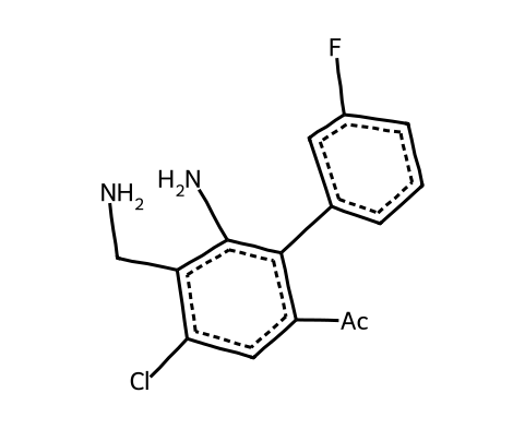 CC(=O)c1cc(Cl)c(CN)c(N)c1-c1cccc(F)c1